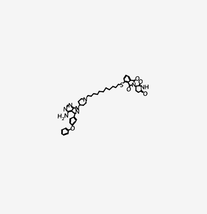 Nc1ncnc2c1c(-c1ccc(Oc3ccccc3)cc1)nn2C1CCN(CCCCCCCCCCCSc2cccc3c2C(=O)N(C2CCC(=O)NC2=O)C3=O)CC1